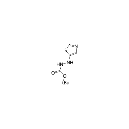 CC(C)(C)OC(=O)NNc1cncs1